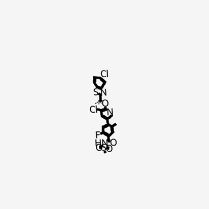 Cc1cc(C(=O)NS(C)(=O)=O)c(F)cc1-c1cnc(O[C@H](C)c2nc3cc(Cl)ccc3s2)c(Cl)c1